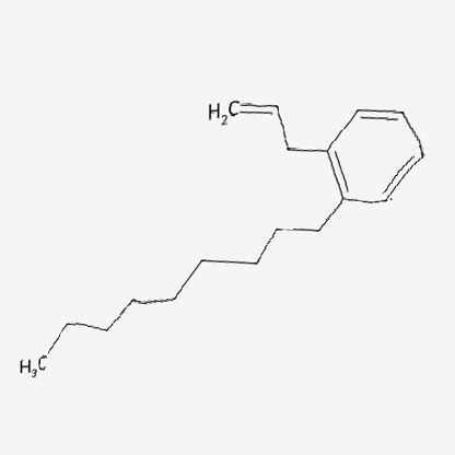 C=CCc1ccc[c]c1CCCCCCCCC